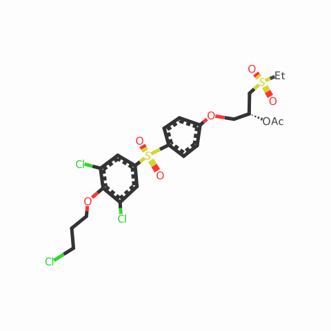 CCS(=O)(=O)C[C@@H](COc1ccc(S(=O)(=O)c2cc(Cl)c(OCCCCl)c(Cl)c2)cc1)OC(C)=O